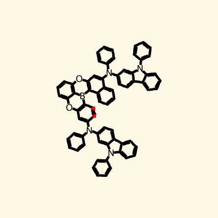 c1ccc(N(c2ccc3c4ccccc4n(-c4ccccc4)c3c2)c2cc3c(c4ccccc24)B2c4c(cccc4Oc4cc(N(c5ccccc5)c5ccc6c7ccccc7n(-c7ccccc7)c6c5)c5ccccc5c42)O3)cc1